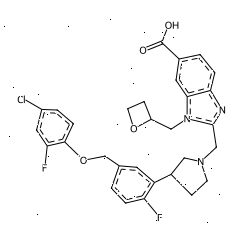 O=C(O)c1ccc2nc(CN3CCC(c4cc(COc5ccc(Cl)cc5F)ccc4F)C3)n(CC3CCO3)c2c1